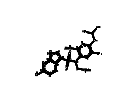 COCN(c1cc(F)c(OC(F)F)nc1OC)S(=O)(=O)c1c[nH]c2nc(Cl)ccc12